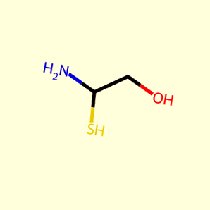 NC(S)CO